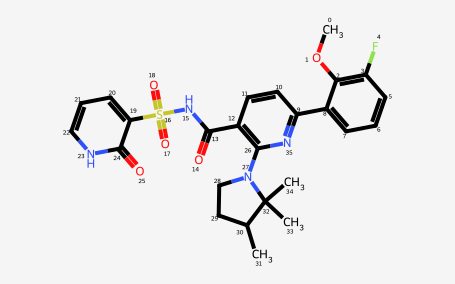 COc1c(F)cccc1-c1ccc(C(=O)NS(=O)(=O)c2ccc[nH]c2=O)c(N2CCC(C)C2(C)C)n1